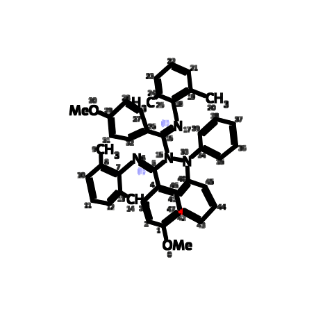 COc1ccc(/C(=N\c2c(C)cccc2C)N(/C(=N/c2c(C)cccc2C)c2ccc(OC)cc2)N(c2ccccc2)c2ccccc2)cc1